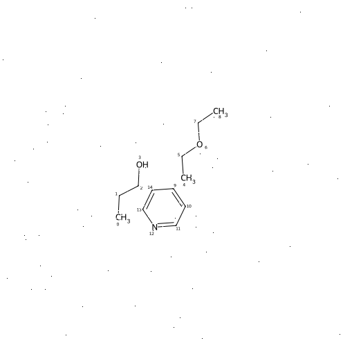 CCCO.CCOCC.c1ccncc1